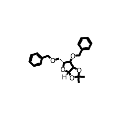 CC1(C)OC2C(OCc3ccccc3)[C@@H](COCc3ccccc3)O[C@H]2O1